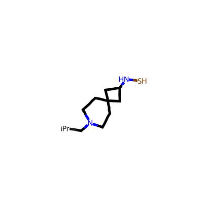 CC(C)CN1CCC2(CC1)CC(NS)C2